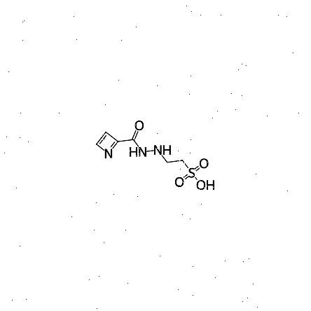 O=C(NNCCS(=O)(=O)O)C1=NC=C1